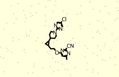 Cc1cc(OCCC2CC2C2CCN(c3ncc(Cl)cn3)CC2)nc(C#N)n1